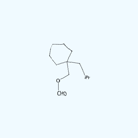 CC(C)CC1(COC=O)CCCCC1